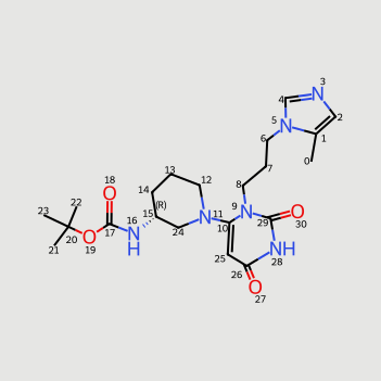 Cc1cncn1CCCn1c(N2CCC[C@@H](NC(=O)OC(C)(C)C)C2)cc(=O)[nH]c1=O